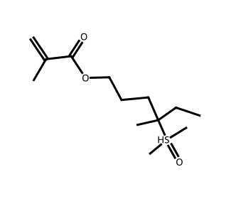 C=C(C)C(=O)OCCCC(C)(CC)[SH](C)(C)=O